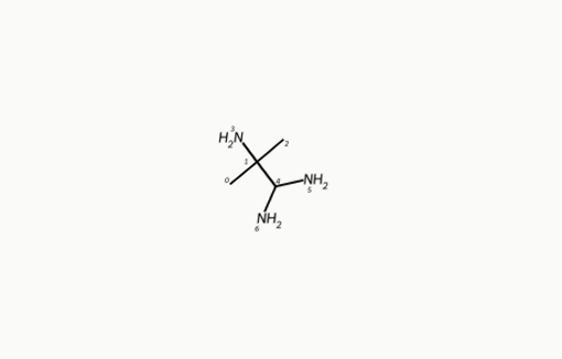 CC(C)(N)C(N)N